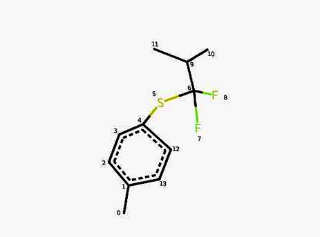 Cc1ccc(SC(F)(F)C(C)C)cc1